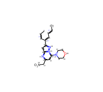 C\C=C/C(=C\C=C\CC)c1cc2nc(C[N+](=O)[O-])cc(N3CCOCC3)n2n1